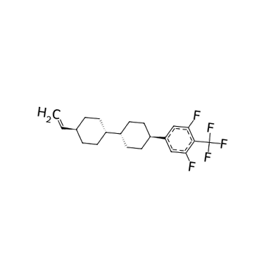 C=C[C@H]1CC[C@H]([C@H]2CC[C@H](c3cc(F)c(C(F)(F)F)c(F)c3)CC2)CC1